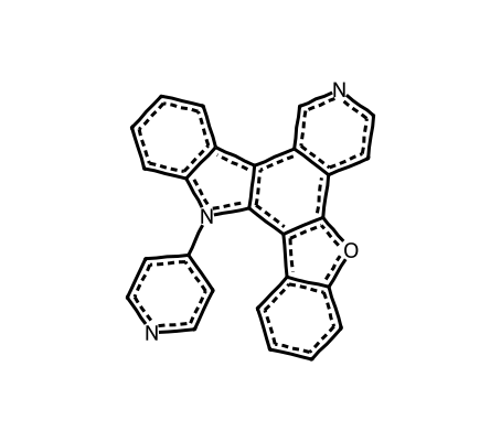 c1ccc2c(c1)oc1c3ccncc3c3c4ccccc4n(-c4ccncc4)c3c21